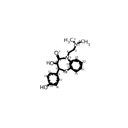 CN(C)CCN1C(=O)C(O)C(c2ccc(O)cc2)Sc2ccccc21